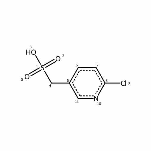 O=S(=O)(O)Cc1ccc(Cl)nc1